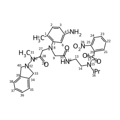 Cc1ccc(N)cc1N(CC(=O)NCCN(C(C)C)S(=O)(=O)c1ccccc1[N+](=O)[O-])CC(=O)N(C)N1Cc2ccccc2C1